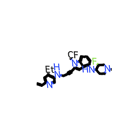 C=Cc1cc(CC)c(NCC#Cc2cc3c(NC4CCN(C)CC4F)cccc3n2CC(F)(F)F)cn1